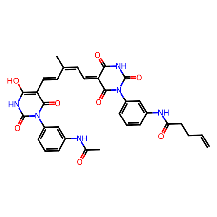 C=CCCC(=O)Nc1cccc(N2C(=O)NC(=O)/C(=C\C=C(C)C=Cc3c(O)[nH]c(=O)n(-c4cccc(NC(C)=O)c4)c3=O)C2=O)c1